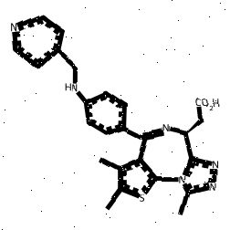 Cc1sc2c(c1C)C(c1ccc(NCc3ccncc3)cc1)=N[C@@H](CC(=O)O)c1nnc(C)n1-2